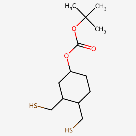 CC(C)(C)OC(=O)OC1CCC(CS)C(CS)C1